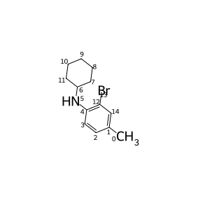 Cc1ccc(NC2CCCCC2)c(Br)c1